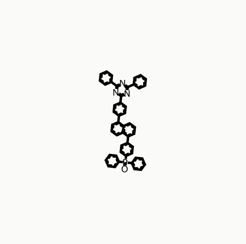 O=P(c1ccccc1)(c1ccccc1)c1ccc(-c2cccc3c(-c4ccc(-c5nc(-c6ccccc6)nc(-c6ccccc6)n5)cc4)cccc23)cc1